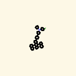 Fc1ccc(N(c2ccccc2)c2ccc(-c3ccc(-c4ccc5c(-c6cccc7ccccc67)c6ccccc6c(-c6cccc7ccccc67)c5c4)cc3)cc2)cc1